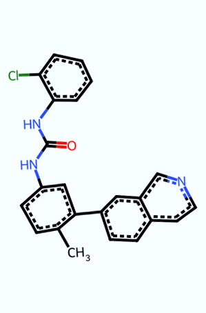 Cc1ccc(NC(=O)Nc2ccccc2Cl)cc1-c1ccc2ccncc2c1